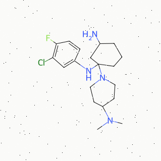 CN(C)C1CCN(C2(Nc3ccc(F)c(Cl)c3)CCCC(N)C2)CC1